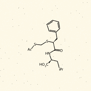 CC(=O)SCS[C@@H](Cc1ccccc1)C(=O)N[C@@H](CC(C)C)C(=O)O